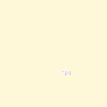 C1=CC2(C1)CNC2